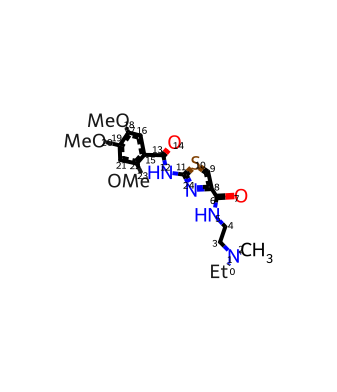 CCN(C)CCNC(=O)c1csc(NC(=O)c2cc(OC)c(OC)cc2OC)n1